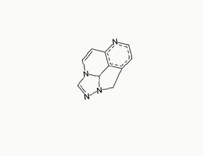 C1=CN2C=NN3Cc4ccnc1c4C23